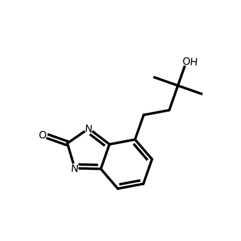 CC(C)(O)CCc1cccc2c1=NC(=O)N=2